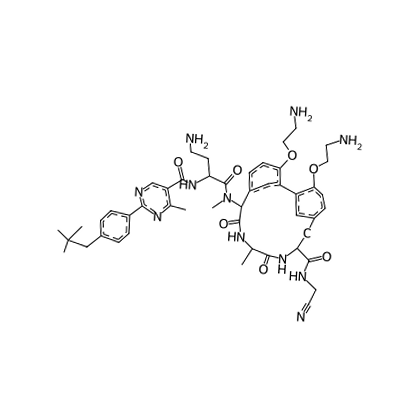 Cc1nc(-c2ccc(CC(C)(C)C)cc2)ncc1C(=O)NC(CCN)C(=O)N(C)C1C(=O)NC(C)C(=O)NC(C(=O)NCC#N)Cc2ccc(OCCN)c(c2)-c2cc1ccc2OCCN